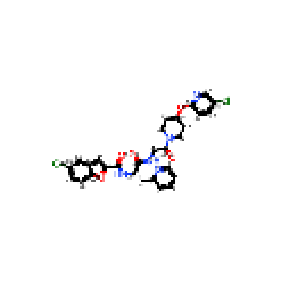 O=C(N[C@@H](Cc1ccccn1)C(=O)NCC(=O)N1CCC(Oc2ccc(Cl)cn2)CC1)c1cc2cc(Cl)ccc2o1